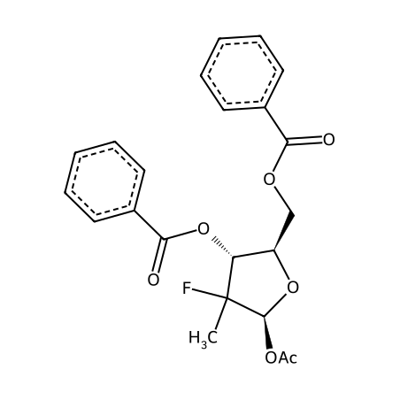 CC(=O)O[C@@H]1O[C@H](COC(=O)c2ccccc2)[C@@H](OC(=O)c2ccccc2)C1(C)F